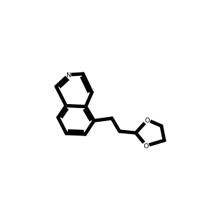 c1cc(CCC2OCCO2)c2ccncc2c1